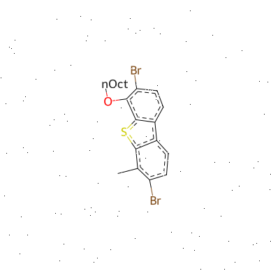 CCCCCCCCOc1c(Br)ccc2c1sc1c(C)c(Br)ccc12